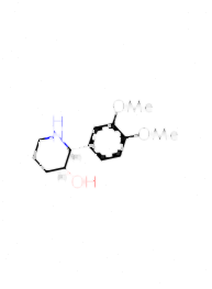 COc1ccc([C@H]2NCCC[C@H]2O)cc1OC